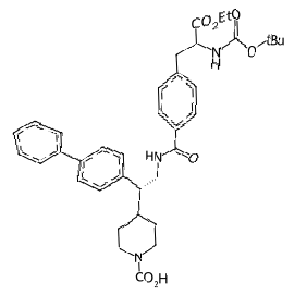 CCOC(=O)C(Cc1ccc(C(=O)NC[C@@H](c2ccc(-c3ccccc3)cc2)C2CCN(C(=O)O)CC2)cc1)NC(=O)OC(C)(C)C